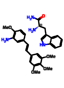 COc1ccc(C=Cc2cc(OC)c(OC)c(OC)c2)cc1N.NC(=O)[C@@H](N)Cc1c[nH]c2ccccc12